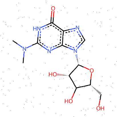 CN(C)c1nc2c(ncn2[C@@H]2O[C@H](CO)C(O)[C@@H]2O)c(=O)[nH]1